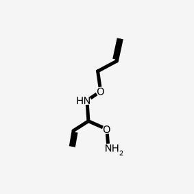 C=CCONC(C=C)ON